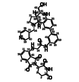 O=C1CCC(N2C(=O)c3cccc(NCC(=O)Nc4cccc(-c5ccc6c(c5)[C@H]5[C@H](CCN5Cc5ccncc5)[C@@H](CO)N6)c4)c3C2=O)C(=O)N1